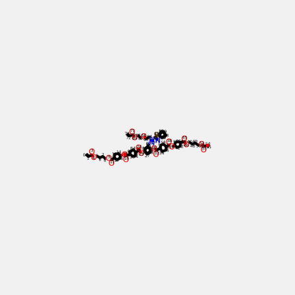 C=CC(=O)OCCCCOC(=O)C1CCC(OC(=O)C2CCC(C(=O)Oc3ccc(OC(=O)C4CCC(C(=O)OC5CCC(C(=O)OCCCCOC(=O)C=C)CC5)CC4)c(/C=N/N(CCOCCOC(=O)C=C)c4nc5ccccc5s4)c3)CC2)CC1